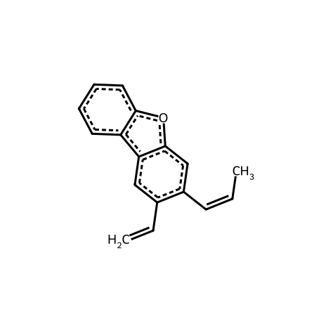 C=Cc1cc2c(cc1/C=C\C)oc1ccccc12